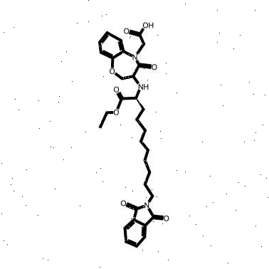 CCOC(=O)[C@H](CCCCCCCCCN1C(=O)c2ccccc2C1=O)NC1COc2ccccc2N(CC(=O)O)C1=O